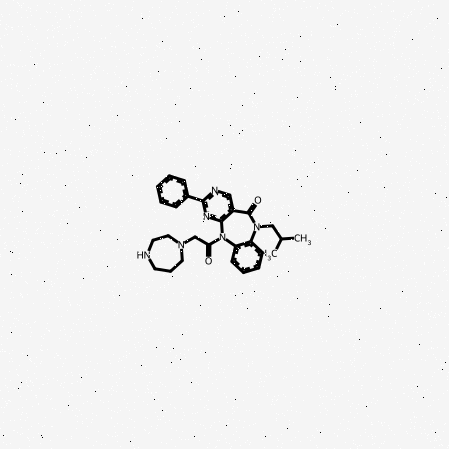 CC(C)CN1C(=O)c2cnc(-c3ccccc3)nc2N(C(=O)CN2CCCNCC2)c2ccccc21